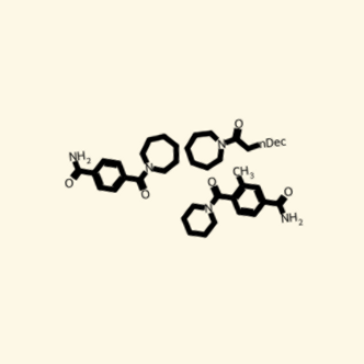 CCCCCCCCCCCC(=O)N1CCCCCC1.Cc1cc(C(N)=O)ccc1C(=O)N1CCCCC1.NC(=O)c1ccc(C(=O)N2CCCCCC2)cc1